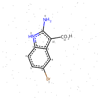 Nc1[nH]c2ccc(Br)cc2c1C(=O)O